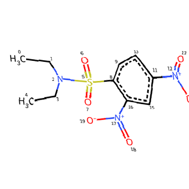 CCN(CC)S(=O)(=O)c1ccc([N+](=O)[O-])cc1[N+](=O)[O-]